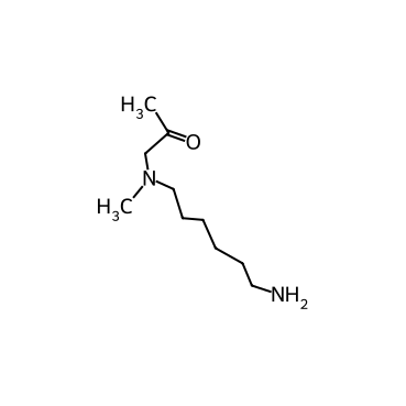 CC(=O)CN(C)CCCCCCN